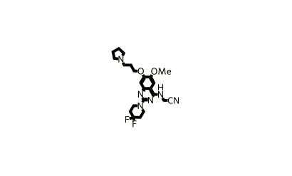 COc1cc2c(NCC#N)nc(N3CCC(F)(F)CC3)nc2cc1OCCCN1CCCC1